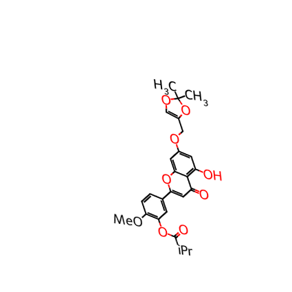 COc1ccc(-c2cc(=O)c3c(O)cc(OCC4=COC(C)(C)O4)cc3o2)cc1OC(=O)C(C)C